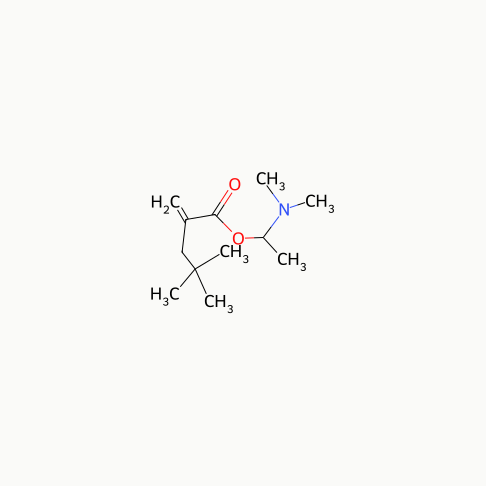 C=C(CC(C)(C)C)C(=O)OC(C)N(C)C